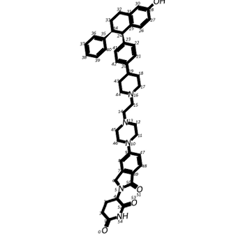 O=C1CCC(N2Cc3cc(N4CCN(CCN5CCC(c6ccc([C@@H]7c8ccc(O)cc8CC[C@@H]7c7ccccc7)cc6)CC5)CC4)ccc3C2=O)C(=O)N1